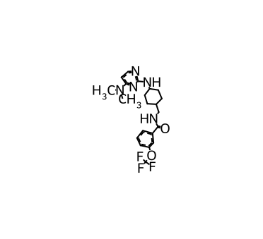 CN(C)c1ccnc(NC2CCC(CNC(=O)c3cccc(OC(F)(F)F)c3)CC2)n1